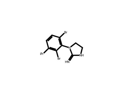 CC(C)c1ccc(Br)c(N2CCNC2=N)c1Br